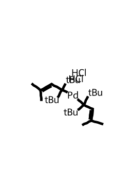 CC(C)=C[C]([Pd][C](C=C(C)C)(C(C)(C)C)C(C)(C)C)(C(C)(C)C)C(C)(C)C.Cl.Cl